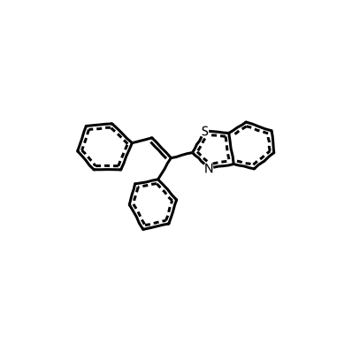 C(=C(c1ccccc1)c1nc2ccccc2s1)c1ccccc1